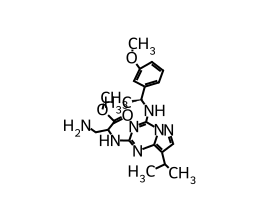 COC(=O)C(CN)Nc1nc(N[C@@H](C)c2cccc(OC)c2)n2ncc(C(C)C)c2n1